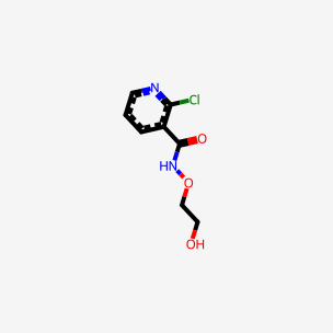 O=C(NOCCO)c1cccnc1Cl